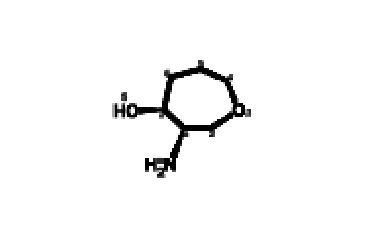 N[C@@H]1COCCC[C@@H]1O